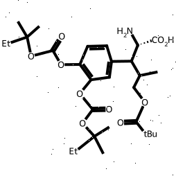 CCC(C)(C)OC(=O)Oc1ccc(C(C(C)COC(=O)C(C)(C)C)[C@H](N)C(=O)O)cc1OC(=O)OC(C)(C)CC